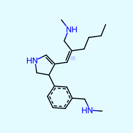 CCCC/C(=C/C1=CNCC1c1cccc(CNC)c1)CNC